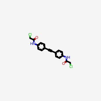 O=C(CCl)Nc1ccc(C#Cc2ccc(NC(=O)CCl)cc2)cc1